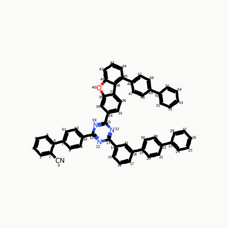 N#Cc1ccccc1-c1ccc(-c2nc(-c3cccc(-c4ccc(-c5ccccc5)cc4)c3)nc(-c3ccc4c(c3)oc3cccc(-c5ccc(-c6ccccc6)cc5)c34)n2)cc1